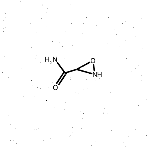 NC(=O)C1NO1